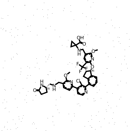 COc1nc(-c2ccnc(-c3cccc4c3CC[C@H]4Oc3nc(OC)c(CNC4(C(=O)O)CC4)cc3C(F)(F)F)c2Cl)ccc1CNC[C@@H]1CCC(=O)N1